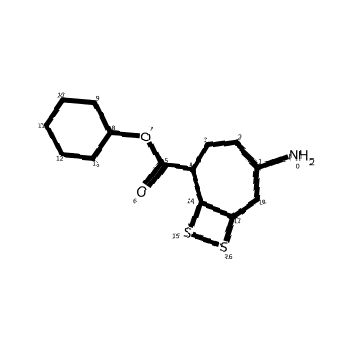 NC1CCC(C(=O)OC2CCCCC2)C2SSC2C1